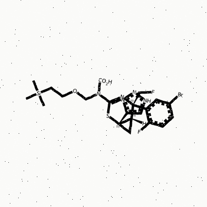 C[Si](C)(C)CCOCN(C(=O)O)C1=N[C@](CF)(c2cc(Br)ccc2F)[C@@H]2C[C@]2(c2c[nH]nn2)S1